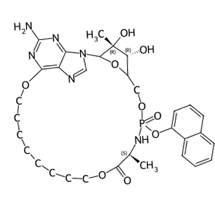 C[C@@H]1NP(=O)(Oc2cccc3ccccc23)OCC2OC(n3cnc4c(nc(N)nc43)OCCCCCCCCOC1=O)[C@](C)(O)[C@@H]2O